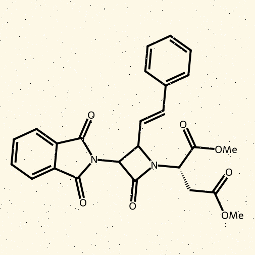 COC(=O)C[C@@H](C(=O)OC)N1C(=O)C(N2C(=O)c3ccccc3C2=O)C1C=Cc1ccccc1